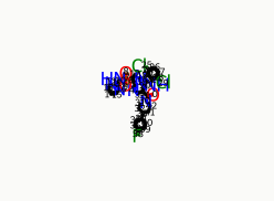 O=C(c1cnc2c(S(=O)(=O)Nc3ncccn3)cnn2c1Nc1cc(Cl)ccc1Cl)N1CCC(c2ccc(F)cc2)CC1